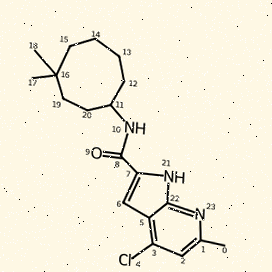 Cc1cc(Cl)c2cc(C(=O)NC3CCCCC(C)(C)CC3)[nH]c2n1